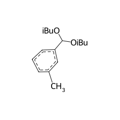 Cc1cccc(C(OCC(C)C)OCC(C)C)c1